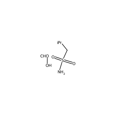 CC(C)CS(N)(=O)=O.O=CO